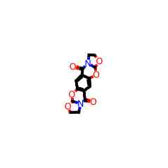 O=C1c2cc3c(cc2OC2OCCN12)C(=O)N1CCOC1O3